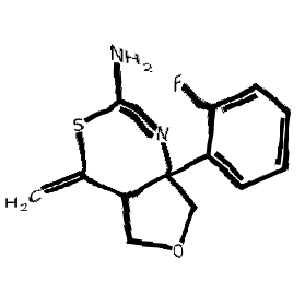 C=C1SC(N)=NC2(c3ccccc3F)COCC12